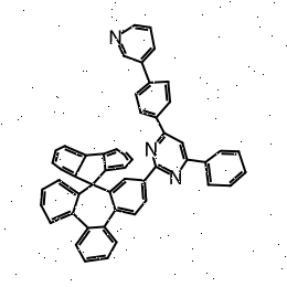 c1ccc(-c2cc(-c3ccc(-c4cccnc4)cc3)nc(-c3ccc4c(c3)C3(c5ccccc5-c5ccccc5-4)c4ccccc4-c4ccccc43)n2)cc1